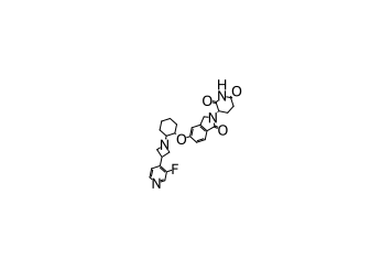 O=C1CC[C@H](N2Cc3cc(O[C@H]4CCCC[C@@H]4N4CC(c5ccncc5F)C4)ccc3C2=O)C(=O)N1